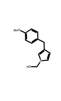 COc1ccc(Cc2ccn(CO)c2)cc1